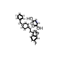 Fc1ccc2c(CCC3CCN(Cc4ccccc4)CC3)noc2c1.O=C(O)/C=C\C(=O)O